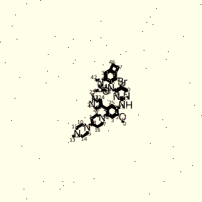 COc1cc(N2CCC(N3CCN(C)CC3)CC2)c(-c2cnn(C)c2)cc1Nc1ncc(Br)c(Nc2cc3c(cc2N(C)[S+](C)[O-])CC3)n1